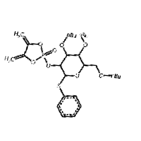 C=C1OP(=O)(OC2C(Sc3ccccc3)OC(COCCCC)C(OCCCC)C2OCCCC)OC1=C